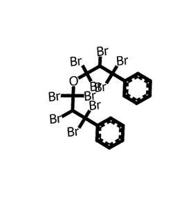 BrC(C(Br)(Br)OC(Br)(Br)C(Br)C(Br)(Br)c1ccccc1)C(Br)(Br)c1ccccc1